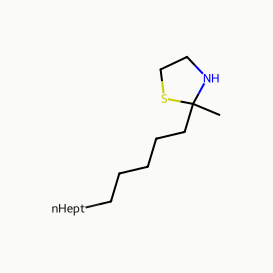 CCCCCCCCCCCCC1(C)NCCS1